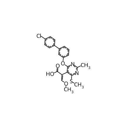 CO/C=C(/C(=O)O)c1c(Oc2cccc(-c3ccc(Cl)cc3)c2)nc(C)nc1SC